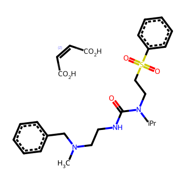 CC(C)N(CCS(=O)(=O)c1ccccc1)C(=O)NCCN(C)Cc1ccccc1.O=C(O)/C=C\C(=O)O